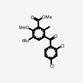 COC(=O)c1c(C)c(C(=O)c2ccc(Cl)cc2Cl)cc(C(C)(C)C)c1OC